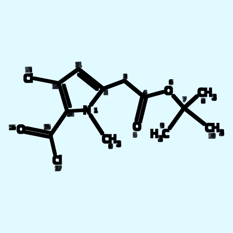 Cn1c(CC(=O)OC(C)(C)C)cc(Cl)c1C(=O)Cl